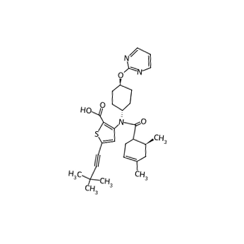 CC1=CCC(C(=O)N(c2cc(C#CC(C)(C)C)sc2C(=O)O)[C@H]2CC[C@H](Oc3ncccn3)CC2)[C@@H](C)C1